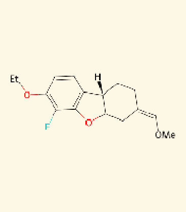 CCOc1ccc2c(c1F)OC1CC(=COC)CC[C@@H]21